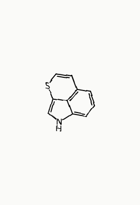 C1=Cc2cccc3[nH]cc(c23)S1